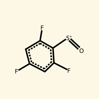 O=[S+]c1c(F)cc(F)cc1F